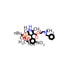 CCCCC(C)OP(=O)(OC(C)CCCC)C1=C(C)NC(C)=C(C(=O)OCCN(C)Cc2ccccc2)C1c1cccc([N+](=O)[O-])c1